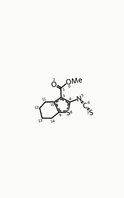 COC(=O)c1c(N=C=S)sc2c1CCCC2